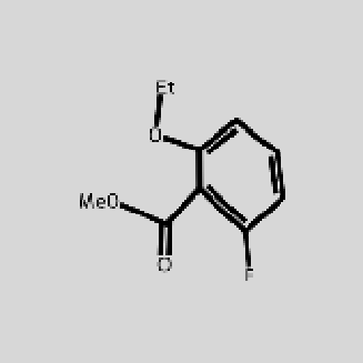 CCOc1cccc(F)c1C(=O)OC